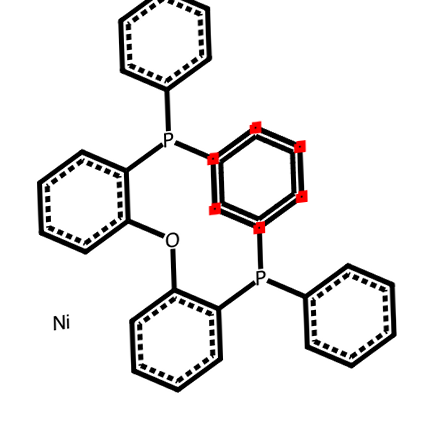 [Ni].c1ccc(P(c2ccccc2)c2ccccc2Oc2ccccc2P(c2ccccc2)c2ccccc2)cc1